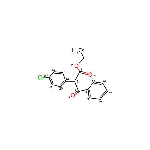 CCOC(=O)C(C(=O)c1ccccc1)c1ccc(Cl)cc1